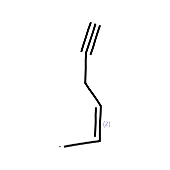 C#CC/C=C\[CH2]